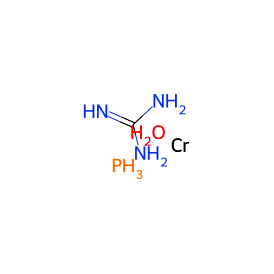 N=C(N)N.O.P.[Cr]